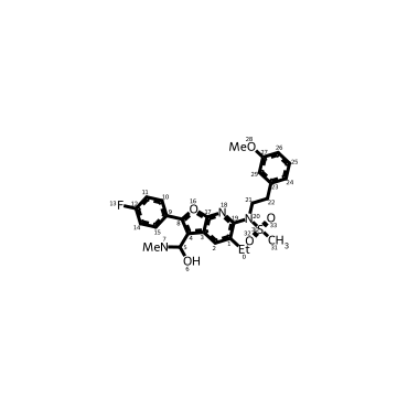 CCc1cc2c(C(O)NC)c(-c3ccc(F)cc3)oc2nc1N(CCc1cccc(OC)c1)S(C)(=O)=O